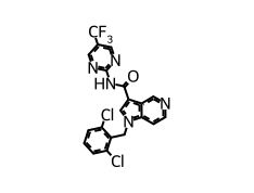 O=C(Nc1ncc(C(F)(F)F)cn1)c1cn(Cc2c(Cl)cccc2Cl)c2ccncc12